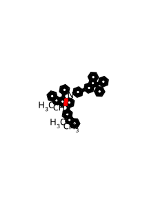 CC1(C)c2ccccc2-c2cc(-c3ccc(N(c4ccc(-c5ccc6c(c5)-c5ccccc5C6(c5ccccc5)c5ccccc5)cc4)c4ccccc4-c4cccc5c4-c4ccccc4C5(C)C)cc3)ccc21